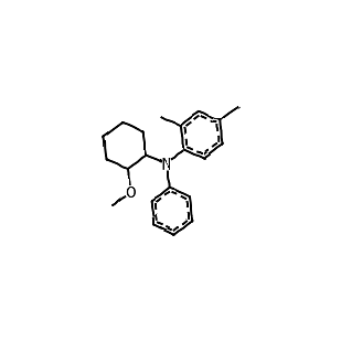 COC1CCCCC1N(c1ccccc1)c1ccc(C)cc1C